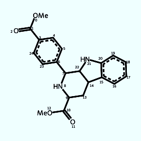 COC(=O)c1ccc(C2NC(C(=O)OC)CC3c4ccccc4NC32)cc1